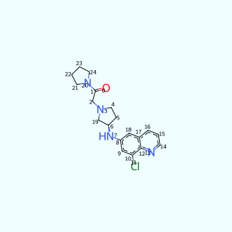 O=C(CN1CC[C@@H](Nc2cc(Cl)c3ncccc3c2)C1)N1CCCC1